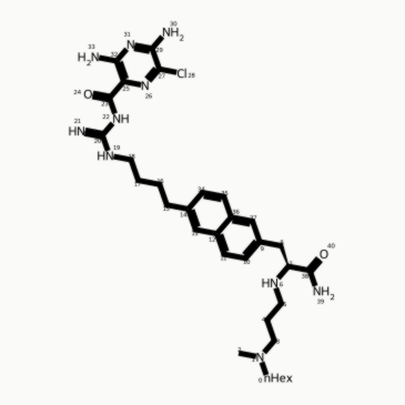 CCCCCCN(C)CCCN[C@@H](Cc1ccc2cc(CCCCNC(=N)NC(=O)c3nc(Cl)c(N)nc3N)ccc2c1)C(N)=O